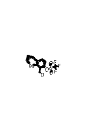 O=Cc1c(OS(=O)(=O)C(F)(F)F)ccc2cccnc12